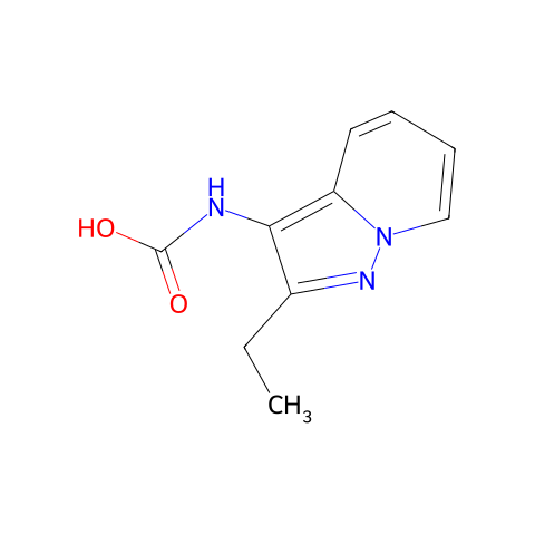 CCc1nn2ccccc2c1NC(=O)O